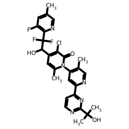 Cc1cnc(C(F)(F)C(O)c2cc(C)n(-c3cc(-c4ccnc(C(C)(C)O)n4)ncc3C)c(=O)c2Cl)c(F)c1